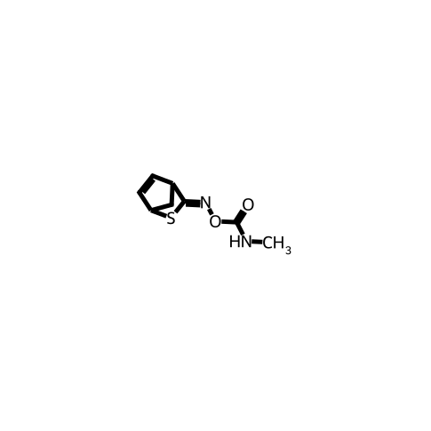 CNC(=O)ON=C1SC2C=CC1C2